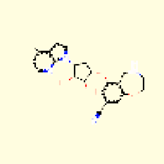 Cc1ccnc2c1ccn2C1CC(Oc2cc(C#N)cc3c2CNCCO3)C(O)C1O